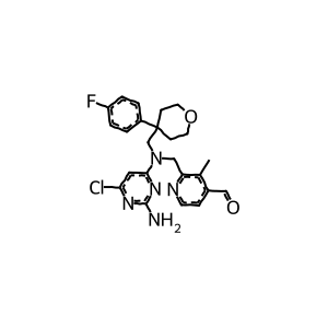 Cc1c(C=O)ccnc1CN(CC1(c2ccc(F)cc2)CCOCC1)c1cc(Cl)nc(N)n1